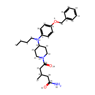 CCCCN(c1ccc(OCc2ccccc2)cc1)C1CCN(C(=O)CC(C)CC(N)=O)CC1